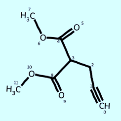 C#CCC(C(=O)OC)C(=O)OC